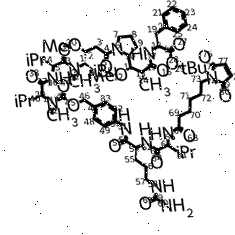 CC[C@H](C)[C@@H](C(CC(=O)N1CCC[C@H]1[C@H](OC)[C@@H](C)C(=O)N[C@@H](Cc1ccccc1)C(=O)OC(C)(C)C)OC)N(C)C(=O)[C@@H](NC(=O)[C@H](C(C)C)N(C)C(=O)OCc1ccc(NC(=O)[C@H](CCCNC(N)=O)NC(=O)C(NC(=O)CCCCCN2C(=O)C=CC2=O)C(C)C)cc1)C(C)C